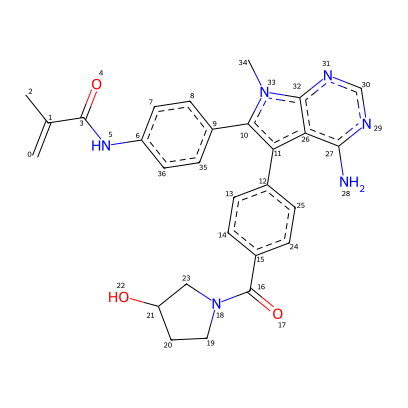 C=C(C)C(=O)Nc1ccc(-c2c(-c3ccc(C(=O)N4CCC(O)C4)cc3)c3c(N)ncnc3n2C)cc1